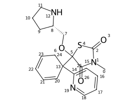 CN1C(=O)SC(OC[C@@H]2CCCN2)(C2(c3ccccn3)C=CC=CC2)C1=O